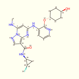 CNc1cc(Nc2cccnc2O[C@H]2CC[C@H](O)CC2)nc2c(C(=O)N[C@H]3C[C@H]3F)cnn12